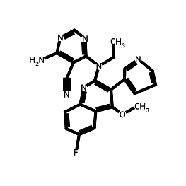 CCN(c1ncnc(N)c1C#N)c1nc2ccc(F)cc2c(OC)c1-c1cccnc1